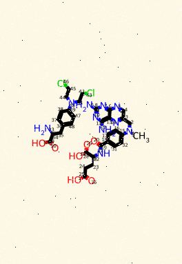 CN(Cc1cnc2nc(N)nc(N)c2n1)c1ccc(C(=O)N[C@@H](CCC(=O)O)C(=O)O)cc1.N[C@@H](Cc1ccc(N(CCCl)CCCl)cc1)C(=O)O